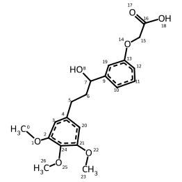 COc1cc(CCC(O)c2cccc(OCC(=O)O)c2)cc(OC)c1OC